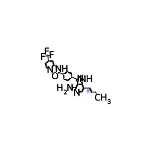 CC/C=C/c1cnc(N)c2c(-c3ccc(C(=O)Nc4cc(C(F)(F)F)ccn4)cc3)n[nH]c12